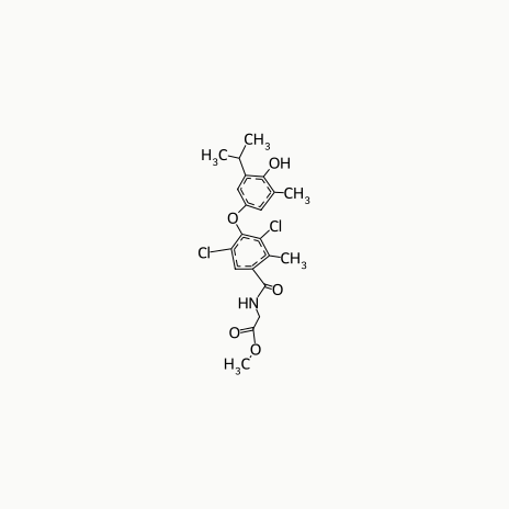 COC(=O)CNC(=O)c1cc(Cl)c(Oc2cc(C)c(O)c(C(C)C)c2)c(Cl)c1C